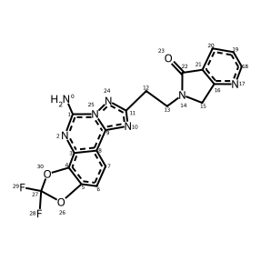 Nc1nc2c3c(ccc2c2nc(CCN4Cc5ncccc5C4=O)nn12)OC(F)(F)O3